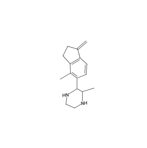 C=C1CCc2c1ccc(C1NCCNC1C)c2C